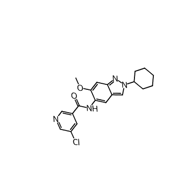 COc1cc2nn(C3CCCCC3)cc2cc1NC(=O)c1cncc(Cl)c1